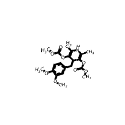 COC(=O)OC1=C(C)NC(C)=C(OC(=O)OC)C1Cc1ccc(OC)c(OC)c1